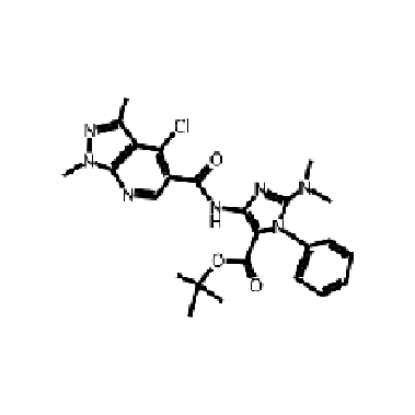 Cc1nn(C)c2ncc(C(=O)Nc3nc(N(C)C)n(-c4ccccc4)c3C(=O)OC(C)(C)C)c(Cl)c12